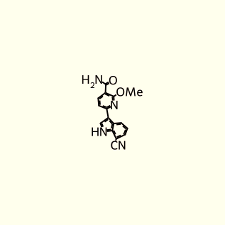 COc1nc(-c2c[nH]c3c(C#N)cccc23)ccc1C(N)=O